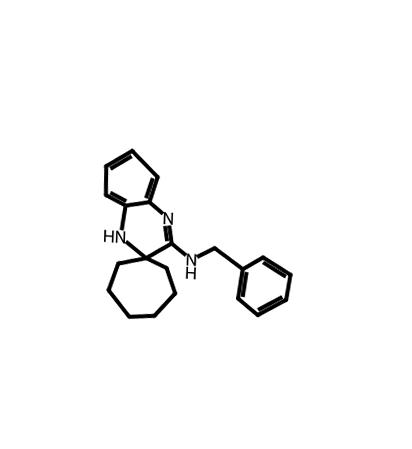 c1ccc(CNC2=Nc3ccccc3NC23CCCCCC3)cc1